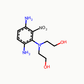 Nc1ccc(N)c([N+](=O)[O-])c1N(CCO)CCO